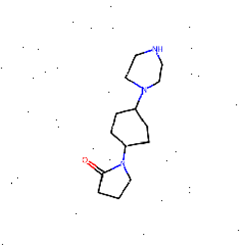 O=C1CCCN1C1CCC(N2CCNCC2)CC1